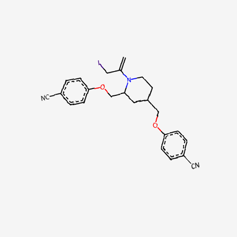 C=C(CI)N1CCC(COc2ccc(C#N)cc2)CC1COc1ccc(C#N)cc1